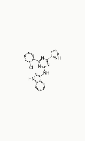 Clc1ccccc1-c1nc(Nc2n[nH]c3ccccc23)nc(-c2ccc[nH]2)n1